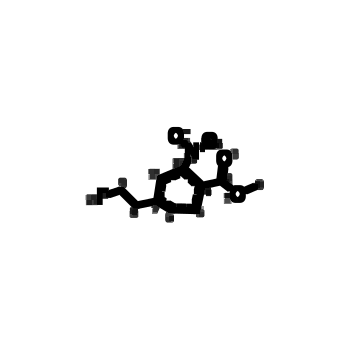 COC(=O)c1ccc(CCF)cc1[N+](=O)[O-]